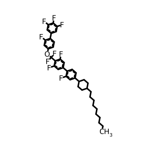 CCCCCCCCCCC1CCC(c2ccc(-c3cc(F)c(C(F)(F)Oc4ccc(-c5cc(F)c(F)c(F)c5)c(F)c4)c(F)c3)c(F)c2)CC1